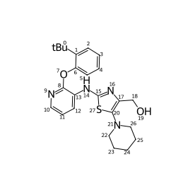 CC(C)(C)c1ccccc1Oc1ncccc1Nc1nc(CO)c(N2CCCCC2)s1